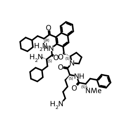 CN[C@@H](Cc1ccccc1)C(=O)N[C@@H](CCCCN)C(=O)N1CCC[C@H]1C(=O)c1cc2ccccc2c(C(=O)[C@H](N)CC2CCCCC2)c1NC(=O)[C@@H](N)CC1CCCCC1